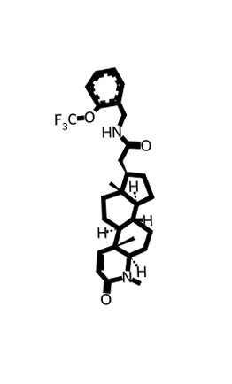 CN1C(=O)C=C[C@]2(C)[C@H]3CC[C@]4(C)[C@@H](CC(=O)NCc5ccccc5OC(F)(F)F)CC[C@H]4[C@@H]3CC[C@@H]12